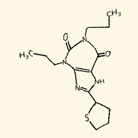 CCCn1c(=O)c2[nH]c(C3CCCS3)nc2n(CCC)c1=O